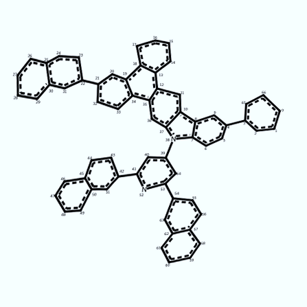 c1ccc(-c2ccc3c(c2)c2cc4c5ccccc5c5cc(-c6ccc7ccccc7c6)ccc5c4cc2n3-c2cc(-c3ccc4ccccc4c3)nc(-c3ccc4ccccc4c3)c2)cc1